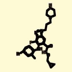 Cc1cc(Br)ccc1Nc1c(C(=O)NOCC2CC2)cc2c(ncn2CCCN2CCNCC2)c1F